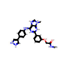 CC(C)NC(=O)COc1cccc(-c2nc(Nc3ccc(-c4cn[nH]c4)cc3)c3ncn(C)c3n2)c1